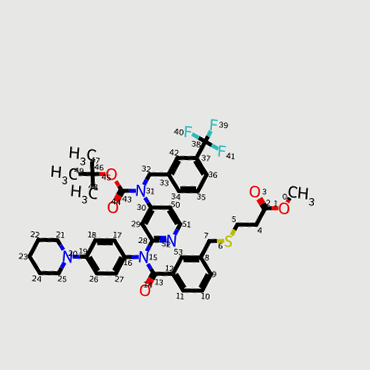 COC(=O)CCSCc1cccc(C(=O)N(c2ccc(N3CCCCC3)cc2)c2cc(N(Cc3cccc(C(F)(F)F)c3)C(=O)OC(C)(C)C)ccn2)c1